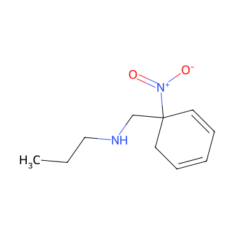 CCCNCC1([N+](=O)[O-])C=CC=CC1